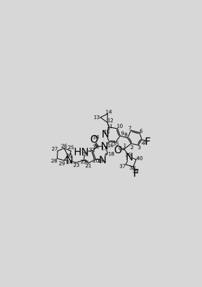 O=C(c1cc(F)ccc1-c1cc(C2CC2)nc(-n2cnc3cc(CN4CC5CCC4C5)[nH]c3c2=O)c1)N1CC(F)C1